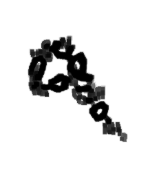 NC[C@H]1CC[C@H](C(=O)N[C@@H](Cc2ccc(-c3cncc(S(=O)(=O)NC4CCNCC4)c3)cc2)C(=O)Nc2ccc(-c3nnn[nH]3)cc2)CC1